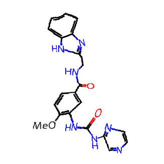 COc1ccc(C(=O)NCc2nc3ccccc3[nH]2)cc1NC(=O)Nc1cnccn1